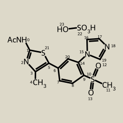 CC(=O)Nc1nc(C)c(-c2ccc(S(C)(=O)=O)c(-n3ccnc3)c2)s1.O=S(=O)(O)O